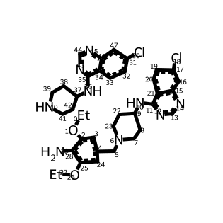 CCOc1cc(CN2CCC(Nc3ncnc4cc(Cl)ccc34)CC2)cc(OCC)c1N.Clc1ccc2c(NC3CCNCC3)ncnc2c1